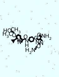 CC(C)(O)COc1ccc2c(C(=O)NC3CCC(Oc4nc(OCCN)ncc4C(N)=O)CC3)cnn2c1C1CC1